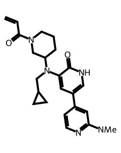 C=CC(=O)N1CCCC(N(CC2CC2)c2cc(-c3ccnc(NC)c3)c[nH]c2=O)C1